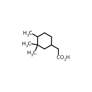 CC1CCC(CC(=O)O)CC1(C)C